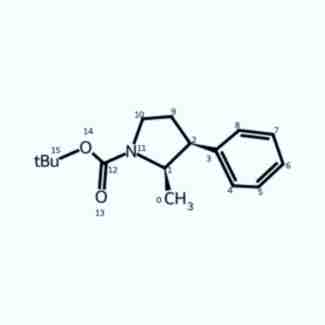 C[C@@H]1[C@H](c2ccccc2)CCN1C(=O)OC(C)(C)C